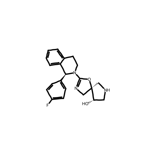 O[C@H]1CNC[C@@]12CN=C(N1CCc3ccccc3[C@@H]1c1ccc(F)cc1)O2